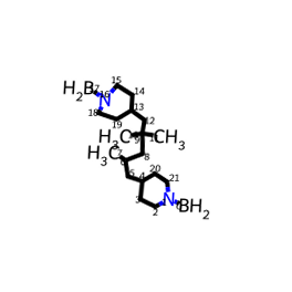 BN1CCC(CC(C)CC(C)(C)CC2CCN(B)CC2)CC1